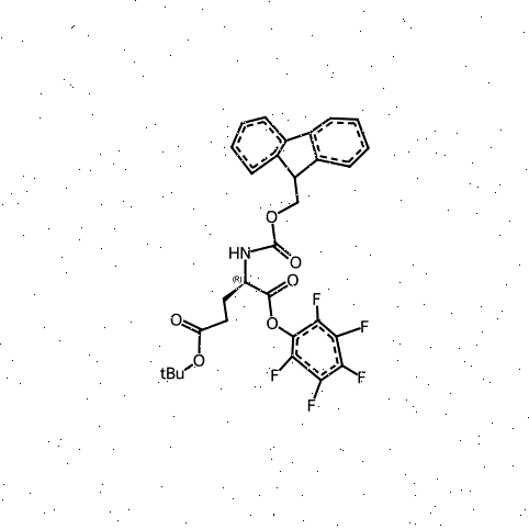 CC(C)(C)OC(=O)CC[C@@H](NC(=O)OCC1c2ccccc2-c2ccccc21)C(=O)Oc1c(F)c(F)c(F)c(F)c1F